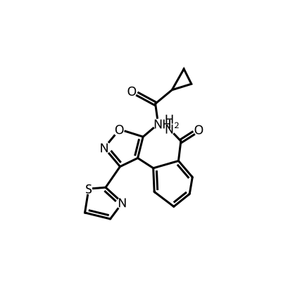 NC(=O)c1ccccc1-c1c(-c2nccs2)noc1NC(=O)C1CC1